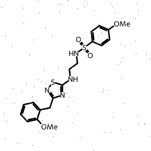 COc1ccc(S(=O)(=O)NCCNc2nc(Cc3ccccc3OC)ns2)cc1